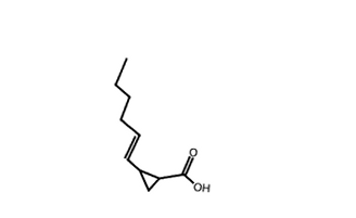 CCCCC=CC1CC1C(=O)O